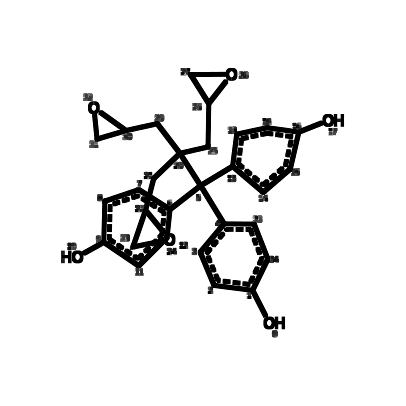 Oc1ccc(C(c2ccc(O)cc2)(c2ccc(O)cc2)C(CC2CO2)(CC2CO2)CC2CO2)cc1